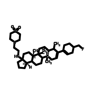 CC1C(C2=CCC(CF)CC2)=CC[PH]2(C)C1CCC1(C)C2CCC2[C@H]3CCCC3(NCCN3CCS(=O)(=O)CC3)CC[C@]21C